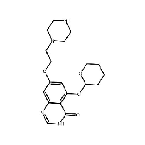 O=c1[nH]cnc2cc(OCCN3CCNCC3)cc(OC3CCCCO3)c12